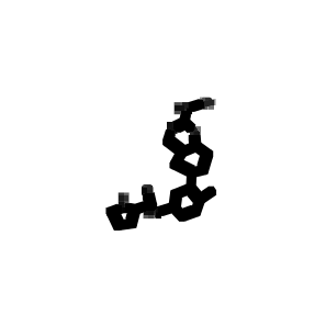 Cc1ccc(NC(=O)c2ccc[nH]2)cc1-c1ccc2nc(NC(C)C)ncc2c1